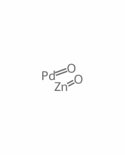 [O]=[Pd].[O]=[Zn]